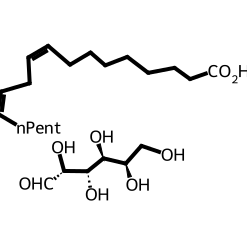 CCCCC/C=C\C/C=C\CCCCCCCC(=O)O.O=C[C@H](O)[C@@H](O)[C@@H](O)[C@H](O)CO